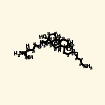 C[C@]12CC[C@H](OCCCN)C[C@H]1CC[C@@H]1[C@@H]2CC[C@]2(C)[C@@](O)(/C=N/OCCNC(=N)N)CC[C@]12O